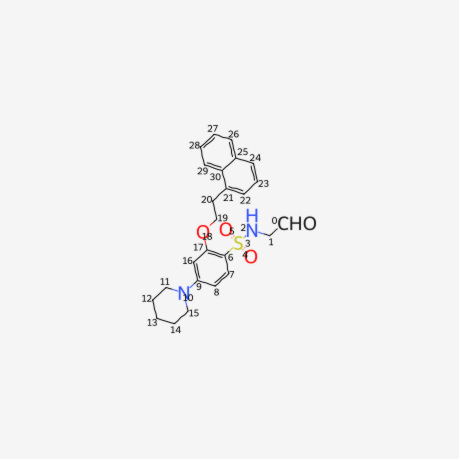 O=CCNS(=O)(=O)c1ccc(N2CCCCC2)cc1OCCc1cccc2ccccc12